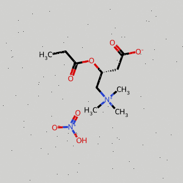 CCC(=O)O[C@H](CC(=O)[O-])C[N+](C)(C)C.O=[N+]([O-])O